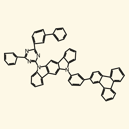 c1ccc(-c2cccc(-c3nc(-c4ccccc4)nc(-n4c5ccccc5c5cc6c(cc54)c4ccccc4n6-c4cccc(-c5ccc6c7ccccc7c7ccccc7c6c5)c4)n3)c2)cc1